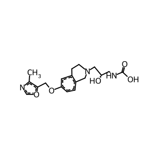 Cc1ncoc1COc1ccc2c(c1)CCN(C[C@H](O)CNC(=O)O)C2